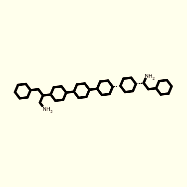 NCC(CC1CCCCC1)C1CCC(C2CCC(C3CCC([C@H]4CC[C@@H](C(N)CC5CCCCC5)CC4)CC3)CC2)CC1